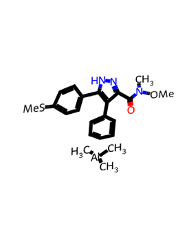 CON(C)C(=O)c1n[nH]c(-c2ccc(SC)cc2)c1-c1ccccc1.[CH3][Al]([CH3])[CH3]